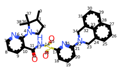 CC1CCN(c2ncccc2C(=O)NS(=O)(=O)c2cccc(N3Cc4cccc5cccc(c45)C3)n2)C1(C)C